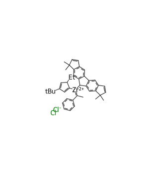 CCC1C=C(C(C)(C)C)C=[C]1/[Zr+2](=[C](/C)c1ccccc1)[CH]1c2cc3c(cc2-c2cc4c(cc21)C(C)(C)C=C4)C=CC3(C)C.[Cl-].[Cl-]